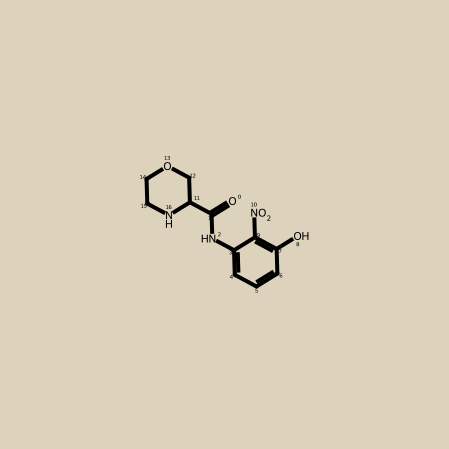 O=C(Nc1cccc(O)c1[N+](=O)[O-])C1COCCN1